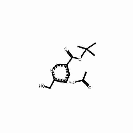 CC(=O)O.CC(C)(C)OC(=O)c1ccc(CO)nc1